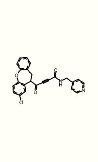 O=C(C#CC(=O)C1Cc2ccccc2Oc2ccc(Cl)cc21)NCc1ccncc1